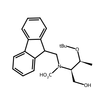 C[C@H](OC(C)(C)C)[C@@H](CO)N(CC1c2ccccc2-c2ccccc21)C(=O)O